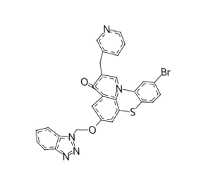 O=c1c(Cc2cccnc2)cn2c3c(cc(OCn4nnc5ccccc54)cc13)Sc1ccc(Br)cc1-2